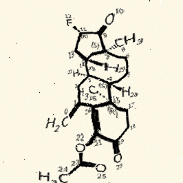 C=C1C[C@@H]2[C@H](CC[C@]3(C)C(=O)[C@H](F)C[C@@H]23)[C@@]2(C)CCC(=O)C(OC(C)=O)=C12